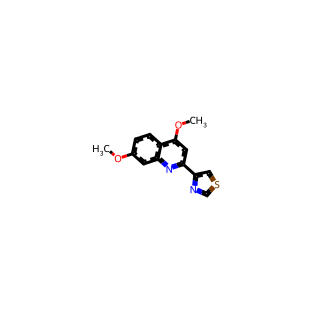 COc1ccc2c(OC)cc(-c3cscn3)nc2c1